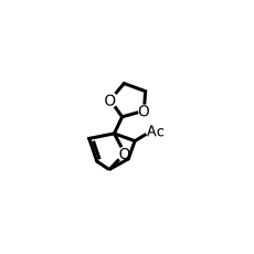 CC(=O)C1CC2C=CC1(C1OCCO1)O2